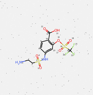 NCCS(=O)(=O)Nc1ccc(C(=O)O)c(OS(=O)(=O)C(F)(F)F)c1